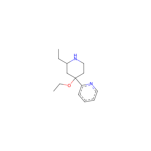 CCOC1(c2ccccn2)CCNC(CC)C1